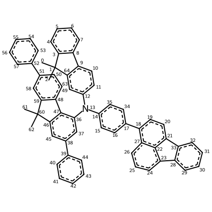 CC1(C)c2ccccc2-c2ccc(N(c3ccc(-c4ccc5c6c(cccc46)-c4ccccc4-5)cc3)c3cc(-c4ccccc4)cc4c3-c3ccc(-c5ccccc5)cc3C4(C)C)cc21